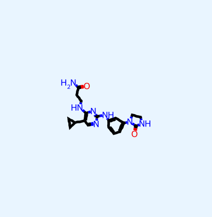 NC(=O)CCNc1nc(Nc2cccc(N3CCNC3=O)c2)ncc1C1CC1